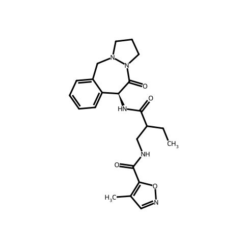 CCC(CNC(=O)c1oncc1C)C(=O)N[C@@H]1C(=O)N2CCCN2Cc2ccccc21